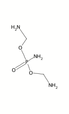 NCOP(N)(=O)OCN